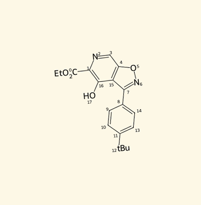 CCOC(=O)c1ncc2onc(-c3ccc(C(C)(C)C)cc3)c2c1O